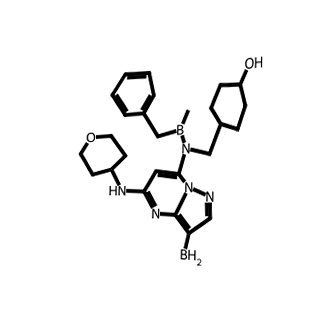 Bc1cnn2c(N(CC3CCC(O)CC3)B(C)Cc3ccccc3)cc(NC3CCOCC3)nc12